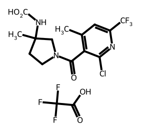 Cc1cc(C(F)(F)F)nc(Cl)c1C(=O)N1CCC(C)(NC(=O)O)C1.O=C(O)C(F)(F)F